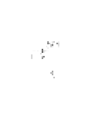 O=C(NCCCCCO[C@@H]1OC[C@@H](O[C@@H]2OC[C@@H](O)[C@H](O)C2O)[C@H](O)C1O)OCc1ccccc1